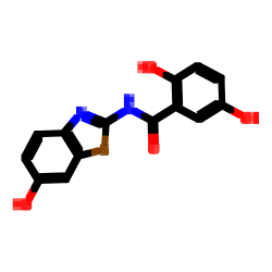 O=C(Nc1nc2ccc(O)cc2s1)c1cc(O)ccc1O